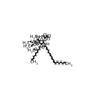 C=CCOP(=O)(OCC=C)O[C@@H]1C(COC)O[C@H](OC(=N)C(Cl)(Cl)Cl)[C@H](NC(=O)CCCCCCCCC/C=C\CCCCCC)C1OCCC(CCCCCCC)OC